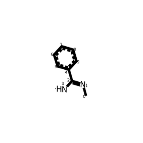 CN=C([NH])c1ccccc1